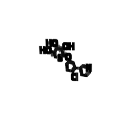 O[C@@H]1[C@@H](O)[C@@H](Oc2ccc(Cl)c(-c3cccnc3)c2)SC[C@H]1O